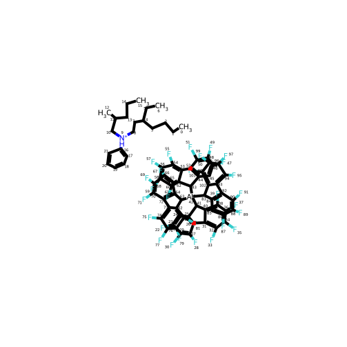 CCCCC(CC)CC[NH+](CC(C)CCC)c1ccccc1.Fc1cc2c(c(F)c1F)-c1c(F)c(F)c(F)c(F)c1[CH]2[Al-]([CH]1c2cc(F)c(F)c(F)c2-c2c(F)c(F)c(F)c(F)c21)([CH]1c2cc(F)c(F)c(F)c2-c2c(F)c(F)c(F)c(F)c21)[CH]1c2cc(F)c(F)c(F)c2-c2c(F)c(F)c(F)c(F)c21